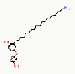 NCCCCCCCCC=CCCCCCCCCCc1cc(Oc2cc(O)cs2)ccc1O